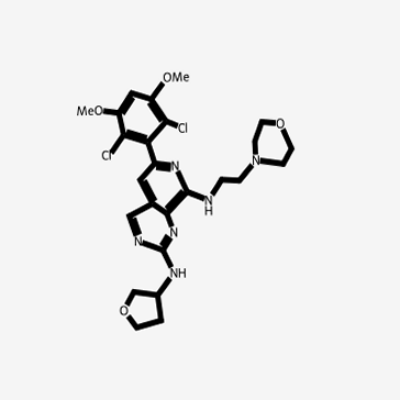 COc1cc(OC)c(Cl)c(-c2cc3cnc(NC4CCOC4)nc3c(NCCN3CCOCC3)n2)c1Cl